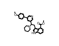 COC(=O)c1cccc2[nH]cc(CC(c3cncc(-c4ccc(OC)cc4)c3)N3CCCCC3)c12